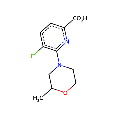 CC1CN(c2nc(C(=O)O)ccc2F)CCO1